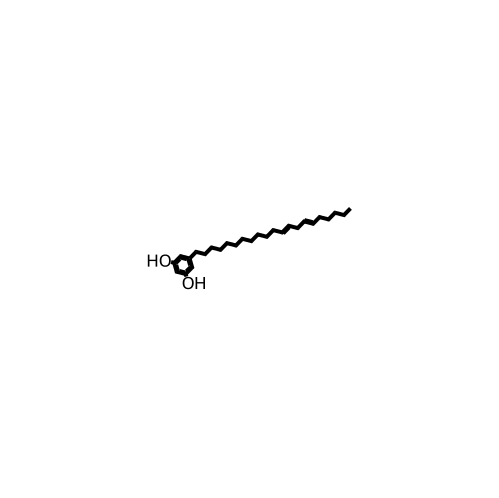 CCCCCC=CCC=CCCCCCCCCCCCc1cc(O)cc(O)c1